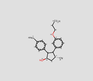 CCCCCCc1ccc(C2C(c3cccc(OCCC(=O)O)c3)[C@H](C#N)C[C@H]2O)cc1